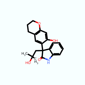 CC(C)(O)CC1(c2cc3c(cc2O)OCCC3)C(=O)Nc2ccccc21